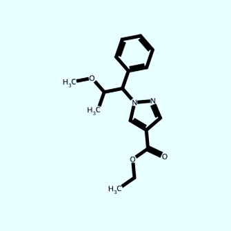 CCOC(=O)c1cnn(C(c2ccccc2)C(C)OC)c1